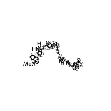 CNC(=O)c1ccccc1Sc1ccc2c(c1)NNC2/C=C/c1ccc(CC(F)(F)CCCCCCN2CC(COCCC(=O)ON3C(=O)CCC3=O)N=N2)cn1